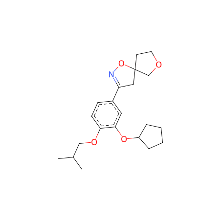 CC(C)COc1ccc(C2=NOC3(CCOC3)C2)cc1OC1CCCC1